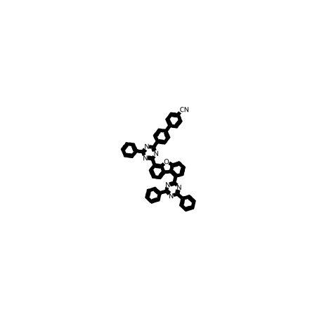 N#Cc1ccc(-c2ccc(-c3nc(-c4ccccc4)nc(-c4cccc5c4oc4cccc(-c6nc(-c7ccccc7)nc(-c7ccccc7)n6)c45)n3)cc2)cc1